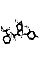 COC(=O)C1(NC(=O)c2nn(-c3ccc(F)cc3F)c3c2C[C@H]2C[C@@H]32)CCCCC1